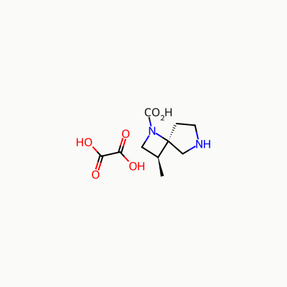 C[C@H]1CN(C(=O)O)[C@]12CCNC2.O=C(O)C(=O)O